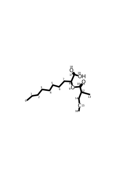 CCCCCCCCC(OC(=O)C(C)CCC)C(=O)O